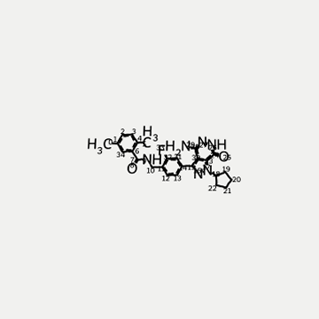 Cc1ccc(C)c(C(=O)NCc2ccc(-c3nn(C4CCCC4)c4c(=O)[nH]nc(N)c34)cc2F)c1